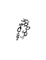 CN1CCN(C2CCCN(c3cnc(C(N)=O)c(Nc4ccc(N5CC6(CNC6)C5)cc4)n3)C2)C1=O